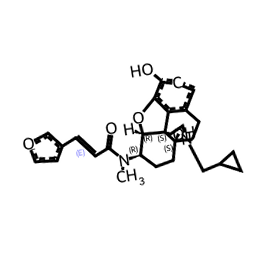 CN(C(=O)/C=C/c1ccoc1)[C@@H]1CC[C@@]2(O)C3Cc4ccc(O)c5c4[C@@]2(CCN3CC2CC2)[C@H]1O5